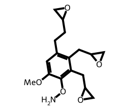 COc1cc(CCC2CO2)c(CC2CO2)c(CC2CO2)c1ON